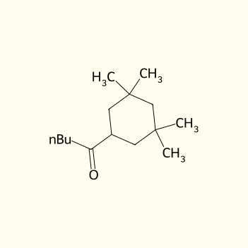 CCCCC(=O)C1CC(C)(C)CC(C)(C)C1